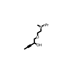 CC#CC(O)COCCN(C)CCC